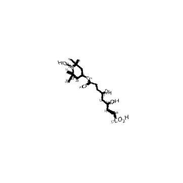 CC1(C)CC(OC(=O)CCC(O)CC(O)/C=C/C(=O)O)CC(C)(C)N1O